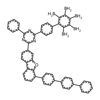 Bc1c(B)c(B)c(-c2ccc(-c3nc(-c4ccccc4)nc(-c4ccc5c(c4)oc4c(-c6ccc(-c7ccc(-c8ccccc8)cc7)cc6)cccc45)n3)cc2)c(B)c1B